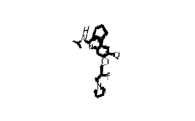 COc1cc2c3c(c(NC(C)C)nc2cc1OCC(F)CN1CCCC1)CCC3